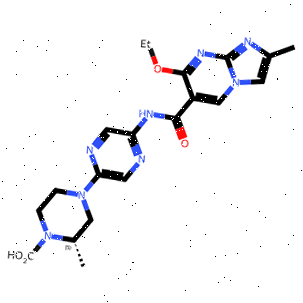 CCOc1nc2nc(C)cn2cc1C(=O)Nc1cnc(N2CCN(C(=O)O)[C@@H](C)C2)cn1